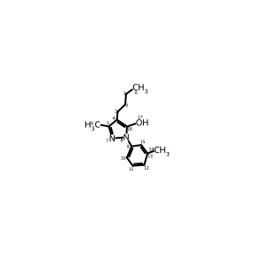 CCCCc1c(C)nn(-c2cccc(C)c2)c1O